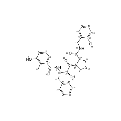 Cc1c(O)cccc1C(=O)N[C@@H](Cc1ccccc1)[C@H](O)C(=O)N1CSCC1C(=O)NCc1ccccc1Cl